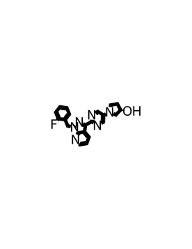 O[C@H]1CCN(c2cnc(-c3nn(Cc4ccccc4F)c4ncccc34)nc2)C1